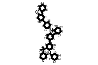 CC1(C)c2ccccc2N(c2ccccc2)c2ccc(-c3ccc4c(c3)c3ccccc3n4-c3ccc(-c4ccc5oc6ccccc6c5c4)cc3)cc21